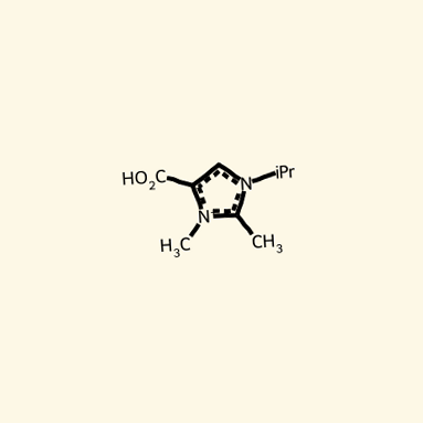 Cc1n(C(C)C)cc(C(=O)O)[n+]1C